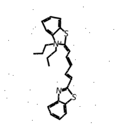 CCC[N+]1(CCC)C(=CC=CC=Cc2nc3ccccc3s2)Sc2ccccc21